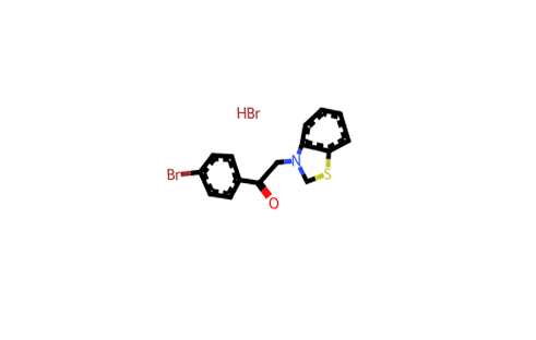 Br.O=C(CN1CSc2ccccc21)c1ccc(Br)cc1